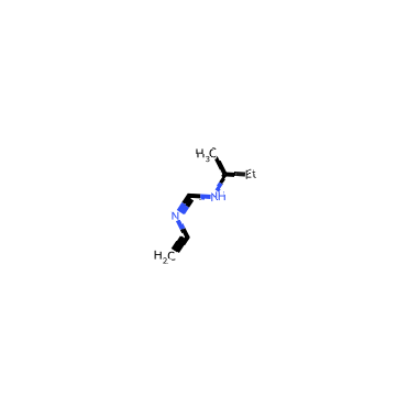 C=C/N=C\NC(C)CC